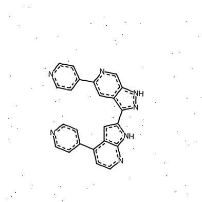 c1cc(-c2cc3c(-c4cc5c(-c6ccncc6)ccnc5[nH]4)n[nH]c3cn2)ccn1